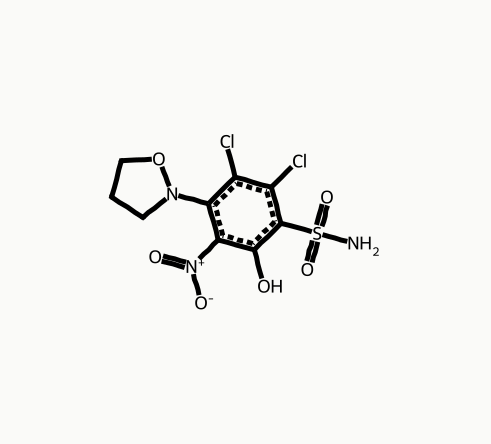 NS(=O)(=O)c1c(O)c([N+](=O)[O-])c(N2CCCO2)c(Cl)c1Cl